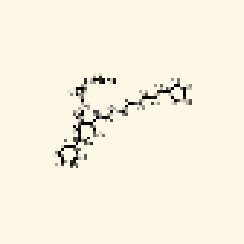 CCCCCCC1OC1COc1nc(-c2ccccc2)ncc1CCCCCCCCCC1CCCC1